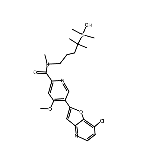 COc1cc(C(=O)N(C)CCCC(C)(C)[Si](C)(C)O)ncc1-c1cc2nccc(Cl)c2o1